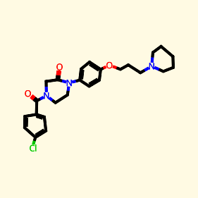 O=C(c1ccc(Cl)cc1)N1CCN(c2ccc(OCCCN3CCCCC3)cc2)C(=O)C1